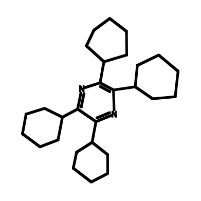 C1CCC(c2nc(C3CCCCC3)c(C3CCCCC3)nc2C2CCCCC2)CC1